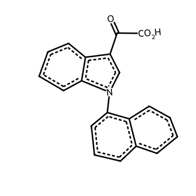 O=C(O)C(=O)c1cn(-c2cccc3ccccc23)c2ccccc12